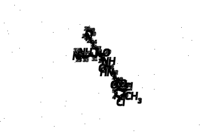 Cc1c(Cl)ccc(S(=O)(=O)C=CCNCC(=O)NCC(=O)N(CCCCN2CCCC2)CCCc2cnc[nH]2)c1Cl